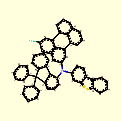 Fc1cccc(-c2cccc3cccc(-c4cccc(N(c5ccc6c(c5)sc5ccccc56)c5cccc6c5-c5ccccc5C6(c5ccccc5)c5ccccc5)c4)c23)c1